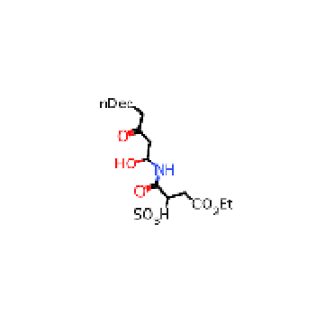 CCCCCCCCCCCC(=O)CC(O)NC(=O)C(CC(=O)OCC)S(=O)(=O)O